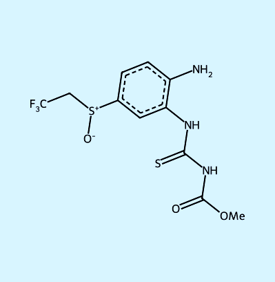 COC(=O)NC(=S)Nc1cc([S+]([O-])CC(F)(F)F)ccc1N